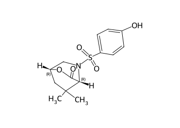 CC1(C)C[C@@H]2CN(S(=O)(=O)c3ccc(O)cc3)[C@H]1C(=O)O2